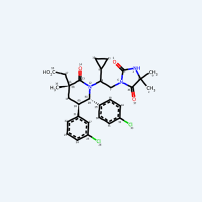 CC1(C)NC(=O)N(CC(C2CC2)N2C(=O)[C@@](C)(CC(=O)O)C[C@H](c3cccc(Cl)c3)[C@H]2c2ccc(Cl)cc2)C1=O